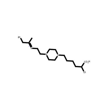 CCC(CCCCN1CCN(CC/N=C(\C)CC(C)C)CC1)C(=O)O